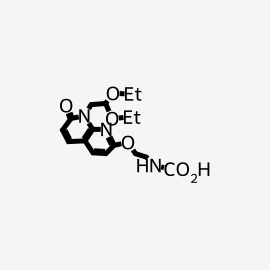 CCOC(Cn1c(=O)ccc2ccc(OCCNC(=O)O)nc21)OCC